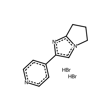 Br.Br.c1cc(-c2cn3c(n2)CCC3)ccn1